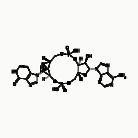 Nc1ncnc2c1ncn2[C@@H]1O[C@@H]2COP(=O)(O)O[C@@H]3[C@H](O)[C@@H](COP(=O)(O)O[C@H]2[C@H]1O)O[C@H]3n1cnc2c(=O)[nH]ccc21